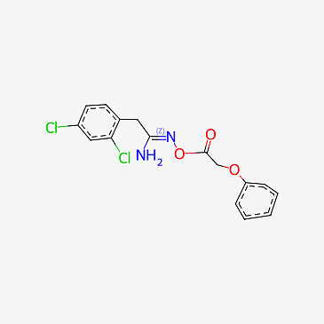 N/C(Cc1ccc(Cl)cc1Cl)=N\OC(=O)COc1ccccc1